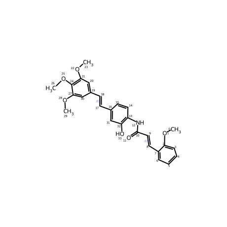 COc1ccccc1/C=C/C(=O)Nc1ccc(/C=C/c2cc(OC)c(OC)c(OC)c2)cc1O